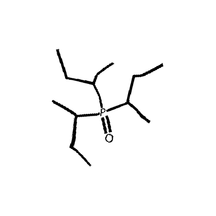 CCC(C)P(=O)(C(C)CC)C(C)CC